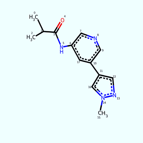 CC(C)C(=O)Nc1cncc(-c2cnn(C)c2)c1